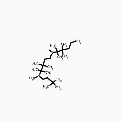 BN(CCC(C)(C)N)C(C)(C)C(C)(C)CCN(I)C(C)(C)C(C)(C)CCN